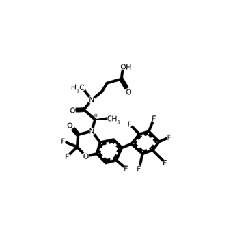 C[C@H](C(=O)N(C)CCC(=O)O)N1C(=O)C(F)(F)Oc2cc(F)c(-c3c(F)c(F)c(F)c(F)c3F)cc21